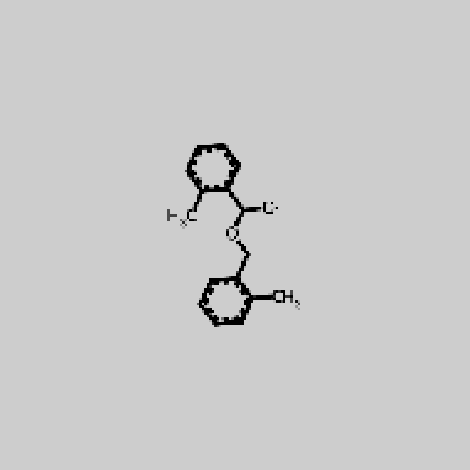 Cc1ccccc1COC([O])c1ccccc1C